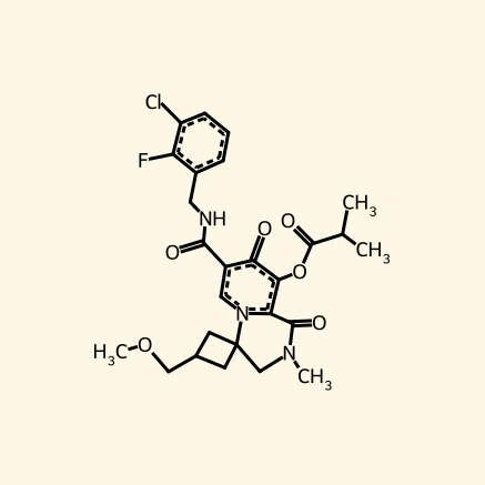 COCC1CC2(C1)CN(C)C(=O)c1c(OC(=O)C(C)C)c(=O)c(C(=O)NCc3cccc(Cl)c3F)cn12